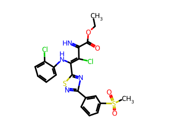 CCOC(=O)C(=N)/C(Cl)=C(\Nc1ccccc1Cl)c1nc(-c2cccc(S(C)(=O)=O)c2)ns1